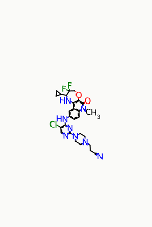 Cn1c(=O)c2c(c3cc(Nc4nc(N5CCN(CCC#N)CC5)ncc4Cl)ccc31)NC(C1CC1)C(F)(F)CO2